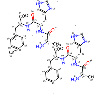 C[C@H](N)C(=O)N[C@@H](Cc1c[nH]cn1)C(=O)N[C@@H](Cc1ccccc1)C(=O)[O-].C[C@H](N)C(=O)N[C@@H](Cc1c[nH]cn1)C(=O)N[C@@H](Cc1ccccc1)C(=O)[O-].[Cu+2]